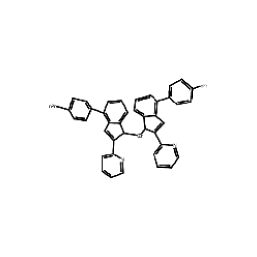 CCCc1ccc(-c2cccc3c2C=C(c2ccccn2)[CH]3[Zr][CH]2C(c3ccccn3)=Cc3c(-c4ccc(CCC)cc4)cccc32)cc1